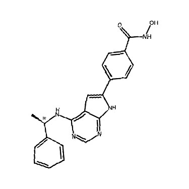 C[C@@H](Nc1ncnc2[nH]c(-c3ccc(C(=O)NO)cc3)cc12)c1ccccc1